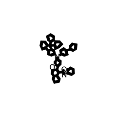 c1ccc(-c2ccc(N(c3ccc4c(c3)C(c3ccccc3)(c3ccccc3)c3ccccc3-4)c3ccc4c(c3)oc3cc5ccccc5c(-c5nc6ccccc6o5)c34)cc2)cc1